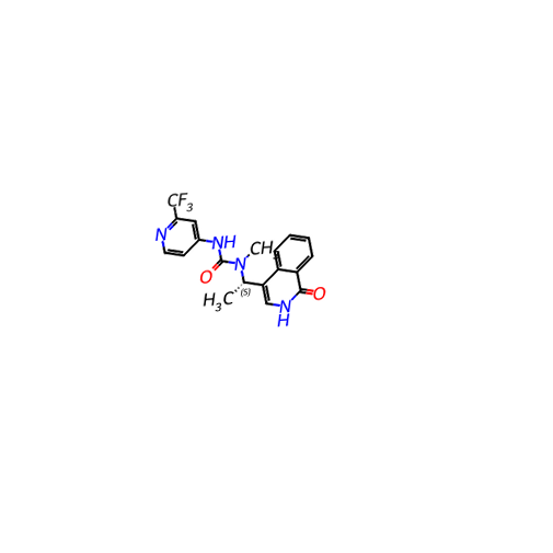 C[C@@H](c1c[nH]c(=O)c2ccccc12)N(C)C(=O)Nc1ccnc(C(F)(F)F)c1